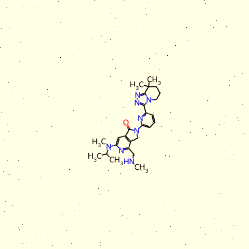 CNCc1nc(N(C)C(C)C)cc2c1CN(c1cccc(-c3nnc4n3CCCC4(C)C)n1)C2=O